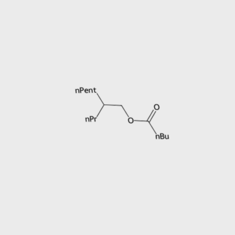 CCCCCC(CCC)COC(=O)CCCC